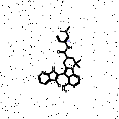 C=C/C(=C\N(C)C)NC(=O)N1Cc2c(-c3[nH]c4ncccc4c3Cl)c3c(N)ncnc3n2C(C)(C)C1